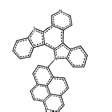 c1cc2ccc3ccc(-n4c5ccccc5c5c6ccncc6c6sc7ccccc7c6c54)c4ccc(c1)c2c34